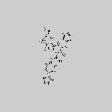 COC(=O)N[C@H](C(=O)NC(Cc1ccccc1)C(O)CN(N)Cc1ccc(-c2cncs2)cc1)C(C)C